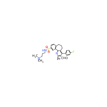 CC(C)c1nc2c(c(-c3ccc(F)cc3)c1C=O)CCCc1ccc(S(=O)(=O)NCCCN(C)C)cc1-2